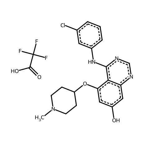 CN1CCC(Oc2cc(O)cc3ncnc(Nc4cccc(Cl)c4)c23)CC1.O=C(O)C(F)(F)F